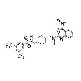 CCN(C)c1nc(NC[C@H]2CC[C@H](CNS(=O)(=O)c3cc(C(F)(F)F)cc(C(F)(F)F)c3)CC2)nc2ccccc12